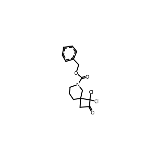 O=C(OCc1ccccc1)N1CCCC2(CC(=O)C2(Cl)Cl)C1